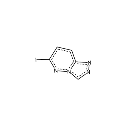 Ic1ccc2nncn2n1